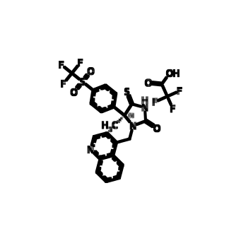 C[C@]1(c2ccc(S(=O)(=O)C(F)(F)F)cc2)C(=S)NC(=O)N1Cc1ccnc2ccccc12.O=C(O)C(F)(F)F